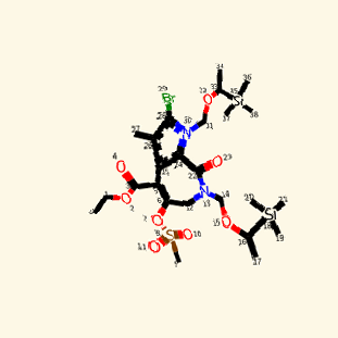 CCOC(=O)C1=C(OS(C)(=O)=O)CN(COC(C)[Si](C)(C)C)C(=O)c2c1c(C)c(Br)n2COC(C)[Si](C)(C)C